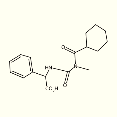 CN(C(=O)NC(C(=O)O)c1ccccc1)C(=O)C1CCCCC1